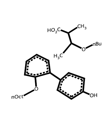 CCCCCCCCOc1ccccc1-c1ccc(O)cc1.CCCCOC(C)C(C)C(=O)O